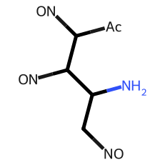 CC(=O)C(N=O)C(N=O)C(N)CN=O